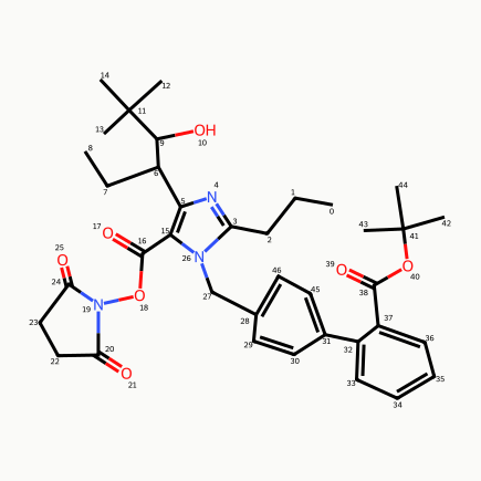 CCCc1nc(C(CC)C(O)C(C)(C)C)c(C(=O)ON2C(=O)CCC2=O)n1Cc1ccc(-c2ccccc2C(=O)OC(C)(C)C)cc1